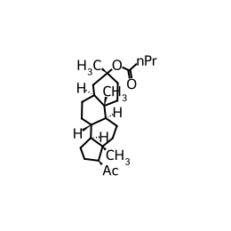 CCCC(=O)O[C@]1(C)CC[C@@]2(C)[C@@H](CC[C@@H]3[C@@H]2CC[C@]2(C)[C@@H](C(C)=O)CC[C@@H]32)C1